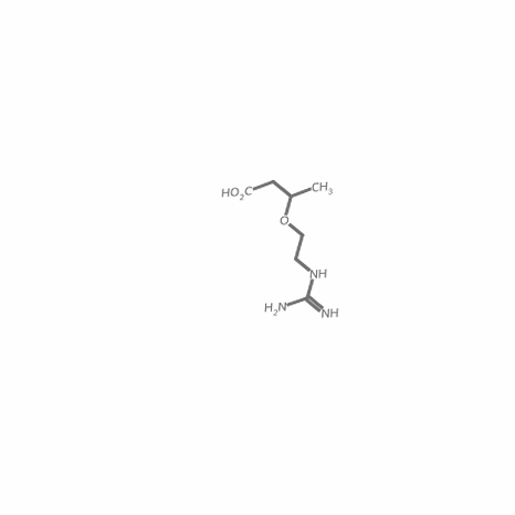 CC(CC(=O)O)OCCNC(=N)N